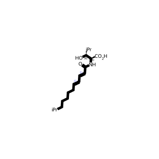 CC(C)CCCCC/C=C/C=C/C(=O)N[C@H](C(=O)O)[C@H](O)C(C)C